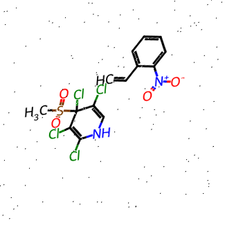 CS(=O)(=O)C1(Cl)C(Cl)=CNC(Cl)=C1Cl.[CH]=Cc1ccccc1[N+](=O)[O-]